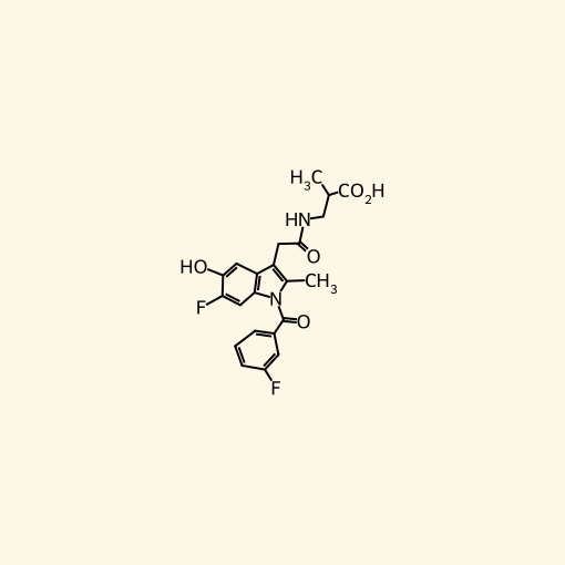 Cc1c(CC(=O)NCC(C)C(=O)O)c2cc(O)c(F)cc2n1C(=O)c1cccc(F)c1